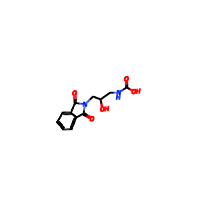 O=C(O)NC[C@@H](O)CN1C(=O)c2ccccc2C1=O